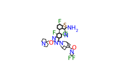 N#Cc1c(N)sc2c(F)ccc(-c3c(Cl)cc4c(N5CC6CC7(C6)C6C(C5)CC67C(=O)N5CC(F)(F)C5)nc(OCC56CCCN5CCC6)nc4c3F)c12